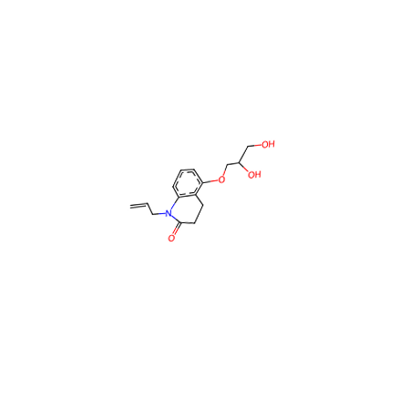 C=CCN1C(=O)CCc2c(OCC(O)CO)cccc21